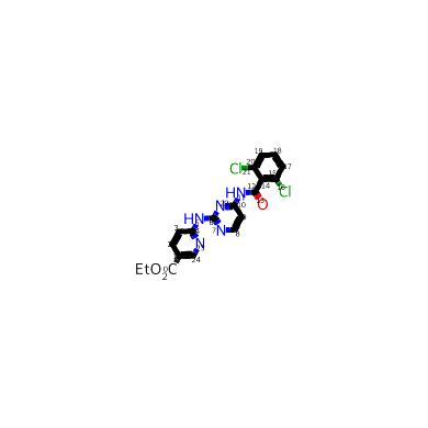 CCOC(=O)c1ccc(Nc2nccc(NC(=O)c3c(Cl)cccc3Cl)n2)nc1